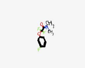 CN(C)C(=O)C(F)(F)Oc1cccc(F)c1